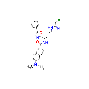 CN(C)c1ccc2cc(C(=O)NC(CCCNC(=N)CF)c3ncc(-c4ccccc4)o3)ccc2c1